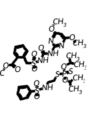 CC(C)OP(=S)(OC(C)C)SCCNS(=O)(=O)c1ccccc1.COC(=O)c1ccccc1CS(=O)(=O)NC(=O)Nc1nc(OC)cc(OC)n1